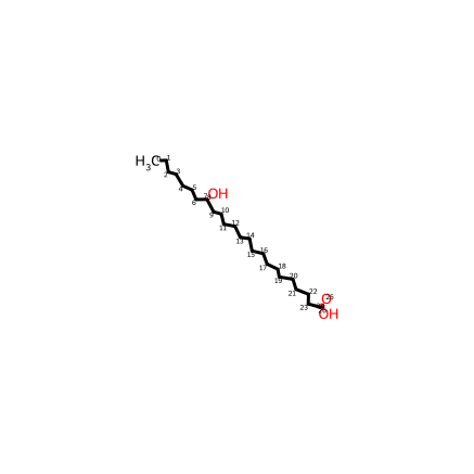 CCCCCCCC(O)CCCCCCCCCCCCCCCC(=O)O